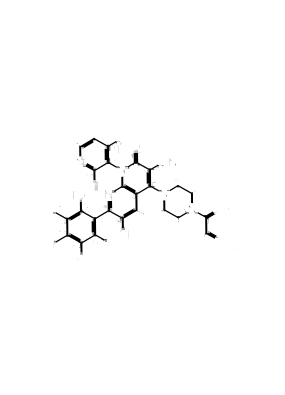 C=CC(=O)N1CCN(c2c(C#N)c(=O)n(-c3c(C)ccnc3C(C)C)c3nc(-c4c(O)c(Cl)c(Cl)c(F)c4F)c(Cl)cc23)CC1